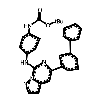 CC(C)(C)OC(=O)Nc1ccc(Nc2nc(-c3cccc(-c4ccccc4)c3)cc3ccnn23)cc1